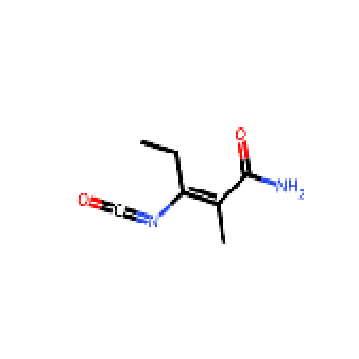 CC/C(N=C=O)=C(/C)C(N)=O